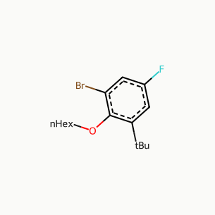 CCCCCCOc1c(Br)cc(F)cc1C(C)(C)C